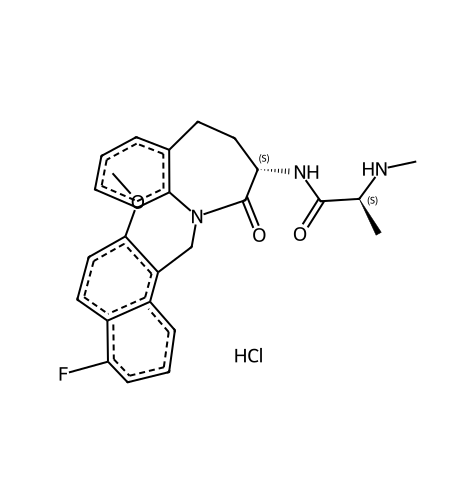 CN[C@@H](C)C(=O)N[C@H]1CCc2ccccc2N(Cc2c(OC)ccc3c(F)cccc23)C1=O.Cl